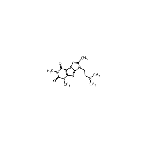 Cc1cn2c3c(=O)n(C)c(=O)n(C)c3nc2n1CCN(C)C